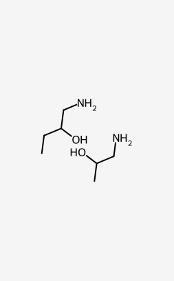 CC(O)CN.CCC(O)CN